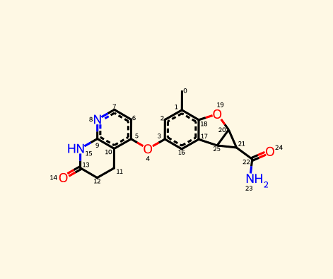 Cc1cc(Oc2ccnc3c2CCC(=O)N3)cc2c1OC1C(C(N)=O)C21